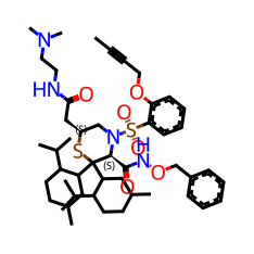 CC#CCOc1ccccc1S(=O)(=O)N1C[C@H](CC(=O)NCCN(C)C)SC(C2CC(C)CCC2C(C)C)(C2CC(C)CCC2C(C)C)[C@@H]1C(=O)NOCc1ccccc1